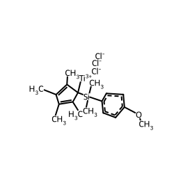 COc1ccc([Si](C)(C)[C]2([Ti+3])C(C)=C(C)C(C)=C2C)cc1.[Cl-].[Cl-].[Cl-]